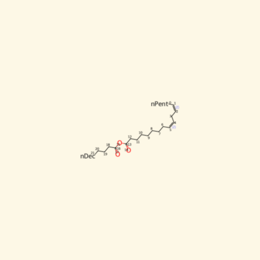 CCCCC/C=C\C/C=C\CCCCCCCC(=O)OC(=O)CCCCCCCCCCCCC